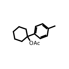 CC(=O)OC1(c2ccc(C)cc2)CCCCC1